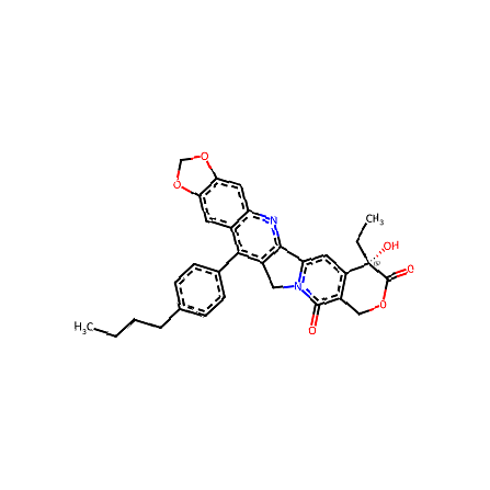 CCCCc1ccc(-c2c3c(nc4cc5c(cc24)OCO5)-c2cc4c(c(=O)n2C3)COC(=O)[C@]4(O)CC)cc1